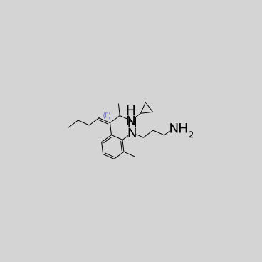 CCC/C=C(\c1cccc(C)c1NCCCN)C(C)NC1CC1